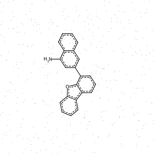 Nc1cc(-c2cccc3c2oc2ccccc23)cc2ccccc12